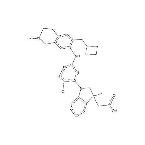 CN1CCc2cc(CC3CCC3)c(Nc3ncc(Cl)c(N4CC(C)(CC(=O)O)c5ccccc54)n3)cc2C1